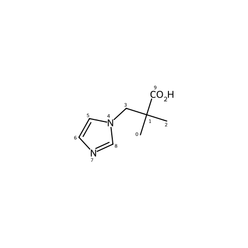 CC(C)(Cn1ccnc1)C(=O)O